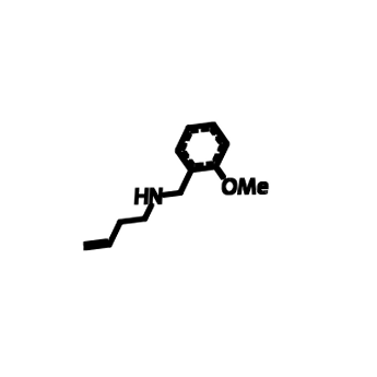 C=CCCNCc1ccccc1OC